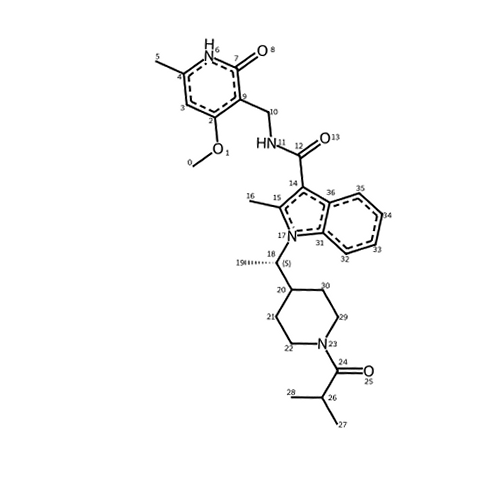 COc1cc(C)[nH]c(=O)c1CNC(=O)c1c(C)n([C@@H](C)C2CCN(C(=O)C(C)C)CC2)c2ccccc12